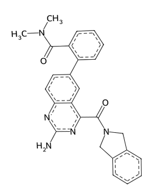 CN(C)C(=O)c1ccccc1-c1ccc2nc(N)nc(C(=O)N3Cc4ccccc4C3)c2c1